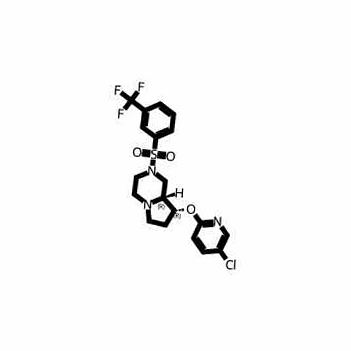 O=S(=O)(c1cccc(C(F)(F)F)c1)N1CCN2CC[C@@H](Oc3ccc(Cl)cn3)[C@H]2C1